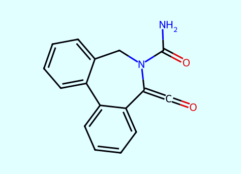 NC(=O)N1Cc2ccccc2-c2ccccc2C1=C=O